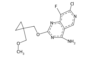 COCC1(COc2nc(N)c3cnc(Cl)c(F)c3n2)CC1